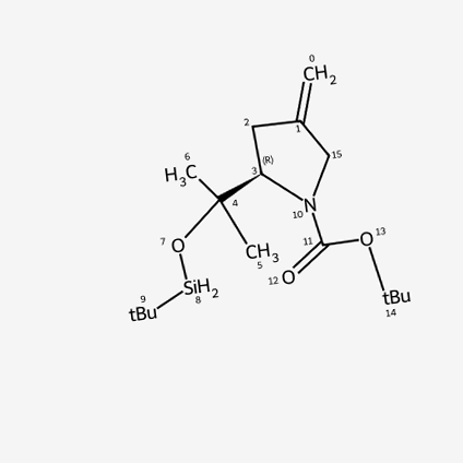 C=C1C[C@H](C(C)(C)O[SiH2]C(C)(C)C)N(C(=O)OC(C)(C)C)C1